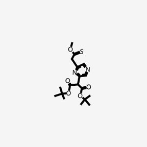 COC(=S)Cc1cncc(C(C(=O)OC(C)(C)C)C(=O)OC(C)(C)C)n1